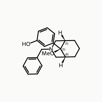 CO[C@]1(c2cccc(O)c2)[C@@H]2CCC[C@H]1CN(Cc1ccccc1)C2